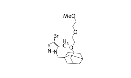 COCCOCCOC12CC3CC(CC(Cn4ncc(Br)c4C)(C3)C1)C2